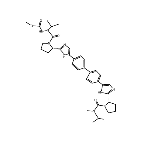 COC(=O)NN(C(=O)N1CCC[C@H]1c1ncc(-c2ccc(-c3ccc(-c4cnc([C@@H]5CCCN5C(=O)N(C)C(C)C)[nH]4)cc3)cc2)[nH]1)C(C)C